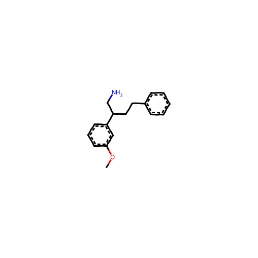 COc1cccc(C(CN)CCc2ccccc2)c1